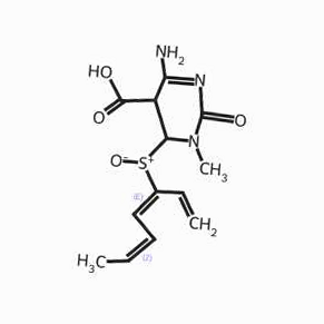 C=C/C(=C\C=C/C)[S+]([O-])C1C(C(=O)O)C(N)=NC(=O)N1C